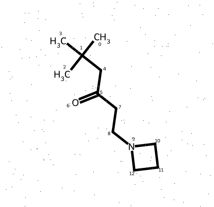 CC(C)(C)CC(=O)CCN1CCC1